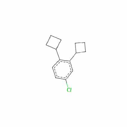 Clc1ccc(C2CCC2)c(C2CCC2)c1